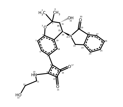 CC1(C)Oc2ccc(-c3c(NCCO)c(=O)c3=O)cc2[C@H](N2Cc3ccccc3C2=O)[C@H]1O